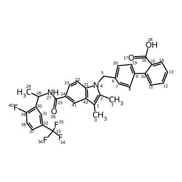 Cc1c(C)n(Cc2ccc(-c3ccccc3C(=O)O)cc2)c2ccc(C(=O)NC(C)c3cc(C(F)(F)F)ccc3F)cc12